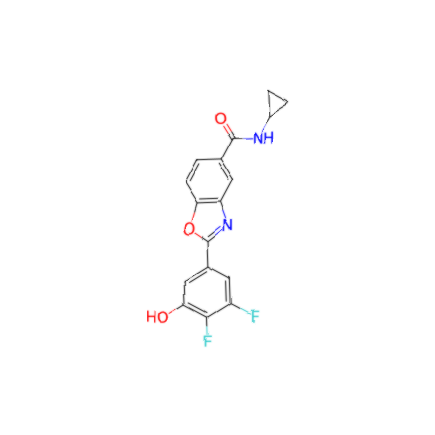 O=C(NC1CC1)c1ccc2oc(-c3cc(O)c(F)c(F)c3)nc2c1